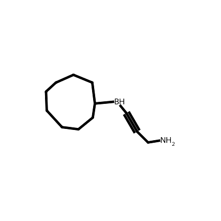 NCC#CBC1CCCCCCCC1